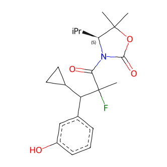 CC(C)[C@@H]1N(C(=O)C(C)(F)C(c2cccc(O)c2)C2CC2)C(=O)OC1(C)C